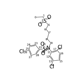 CCS(=O)(=O)CCCCCN(c1cc(Cl)ccc1Cl)S(=O)(=O)c1ccc(Cl)cc1